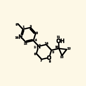 Cc1ccc(N2CCOC(C3(O)CC3)C2)cn1